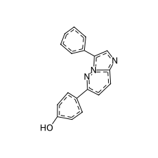 Oc1ccc(-c2ccc3ncc(-c4ccccc4)n3n2)cc1